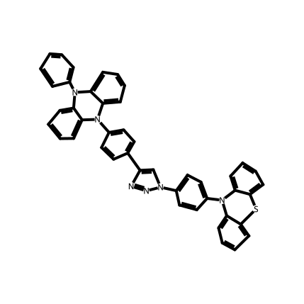 c1ccc(N2c3ccccc3N(c3ccc(-c4cn(-c5ccc(N6c7ccccc7Sc7ccccc76)cc5)nn4)cc3)c3ccccc32)cc1